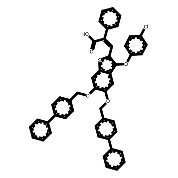 O=C(O)C(=Cc1sc2cc(OCc3ccc(-c4ccccc4)cc3)c(OCc3ccc(-c4ccccc4)cc3)cc2c1Oc1ccc(Cl)cc1)c1ccccc1